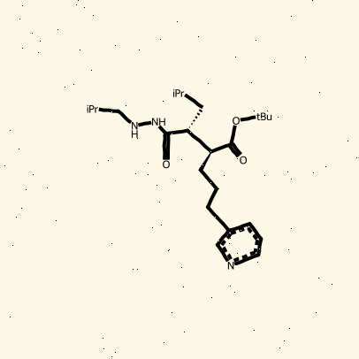 CC(C)CNNC(=O)[C@H](CC(C)C)[C@H](CCCc1cccnc1)C(=O)OC(C)(C)C